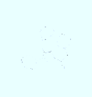 CC(CN1CCCCC1)n1cc(-c2ccccc2)c(OC2C=CCCC2)n1